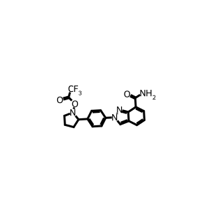 NC(=O)c1cccc2cn(-c3ccc(C4CCCN4OC(=O)C(F)(F)F)cc3)nc12